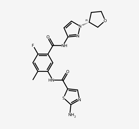 Cc1cc(F)c(C(=O)Nc2ccn([C@@H]3CCOC3)n2)cc1NC(=O)c1cnc(N)s1